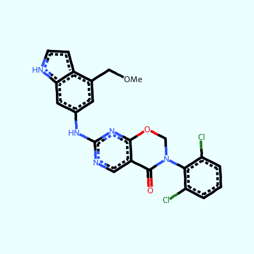 COCc1cc(Nc2ncc3c(n2)OCN(c2c(Cl)cccc2Cl)C3=O)cc2[nH]ccc12